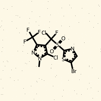 Cn1nc(C(F)(F)F)c(C(F)(Cl)S(=O)(=O)c2ncc(Br)s2)c1Cl